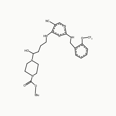 CC(C)(C)OC(=O)N1CCN(C(O)CCCNc2nc(NCc3ccccc3OC(F)(F)F)ncc2C#N)CC1